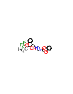 CCC(O)C(CCN1CCN(C2COc3ccccc3O2)CC1)c1ccccc1OC(F)(F)F